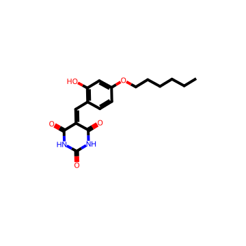 CCCCCCOc1ccc(C=C2C(=O)NC(=O)NC2=O)c(O)c1